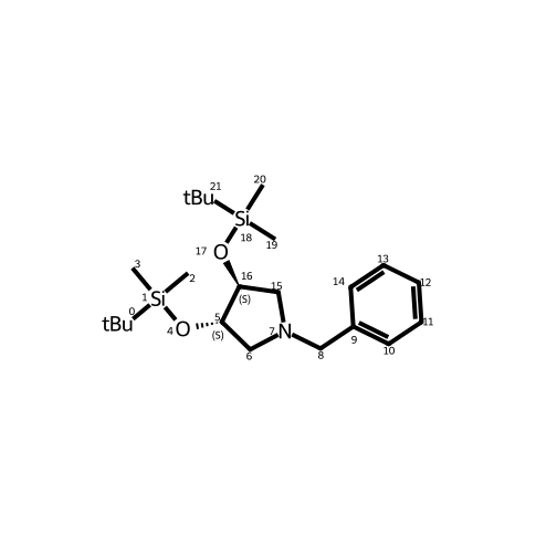 CC(C)(C)[Si](C)(C)O[C@H]1CN(Cc2ccccc2)C[C@@H]1O[Si](C)(C)C(C)(C)C